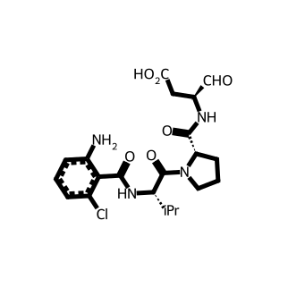 CC(C)[C@H](NC(=O)c1c(N)cccc1Cl)C(=O)N1CCC[C@H]1C(=O)N[C@H](C=O)CC(=O)O